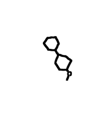 COC1CC[C](C2CCCCC2)CC1